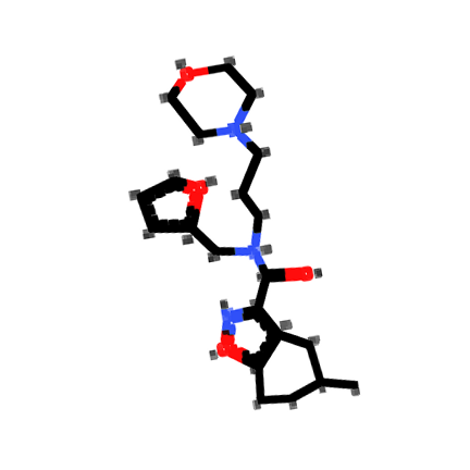 CC1CCc2onc(C(=O)N(CCCN3CCOCC3)Cc3ccco3)c2C1